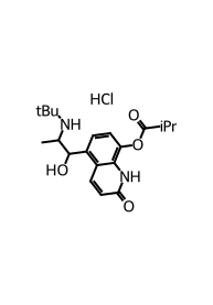 CC(C)C(=O)Oc1ccc(C(O)C(C)NC(C)(C)C)c2ccc(=O)[nH]c12.Cl